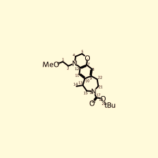 COCCN1CCOc2cc3c(cc21)C(C)CN(C(=O)OC(C)(C)C)CC3